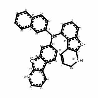 C1=Cc2c(oc3cccc(N(c4ccc5ccccc5c4)c4ccc5c(c4)oc4ncccc45)c23)NC1